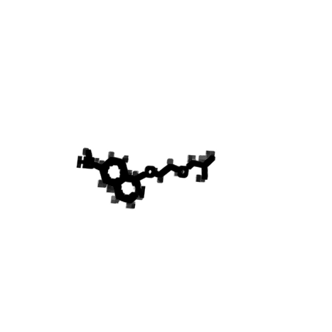 CBc1ccc2c(OCCOCC(C)C)nccc2c1